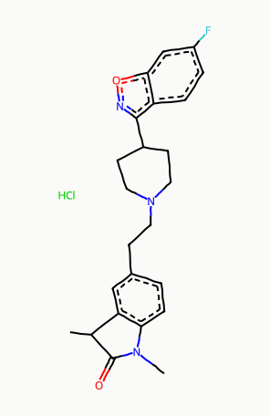 CC1C(=O)N(C)c2ccc(CCN3CCC(c4noc5cc(F)ccc45)CC3)cc21.Cl